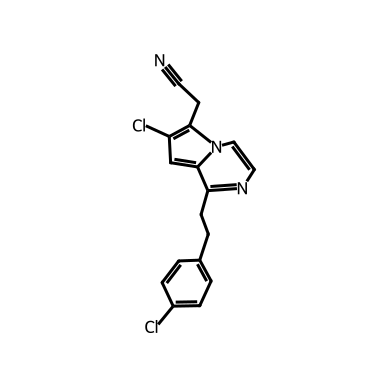 N#CCc1c(Cl)cc2c(CCc3ccc(Cl)cc3)nccn12